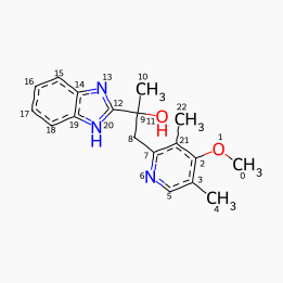 COc1c(C)cnc(CC(C)(O)c2nc3ccccc3[nH]2)c1C